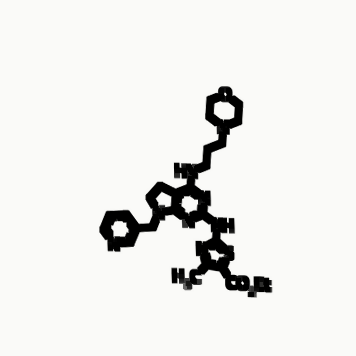 CCOC(=O)c1sc(Nc2nc(NCCCN3CCOCC3)c3c(n2)N(Cc2cccnc2)CC3)nc1C